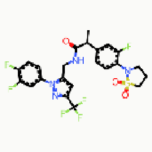 CC(C(=O)NCc1cc(C(F)(F)F)nn1-c1ccc(F)c(F)c1)c1ccc(N2CCCS2(=O)=O)c(F)c1